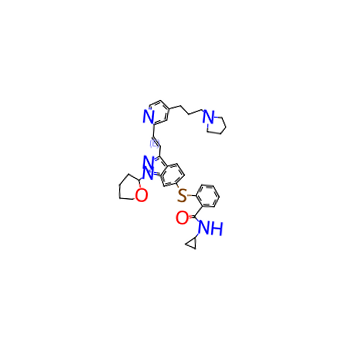 O=C(NC1CC1)c1ccccc1Sc1ccc2c(/C=C/c3cc(CCCN4CCCC4)ccn3)nn(C3CCCCO3)c2c1